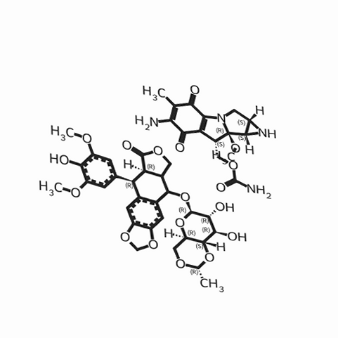 CO[C@@]12[C@H](COC(N)=O)C3=C(C(=O)C(C)=C(N)C3=O)N1C[C@@H]1N[C@@H]12.COc1cc([C@@H]2c3cc4c(cc3C(O[C@@H]3O[C@@H]5CO[C@@H](C)O[C@H]5[C@H](O)[C@H]3O)C3COC(=O)[C@@H]32)OCO4)cc(OC)c1O